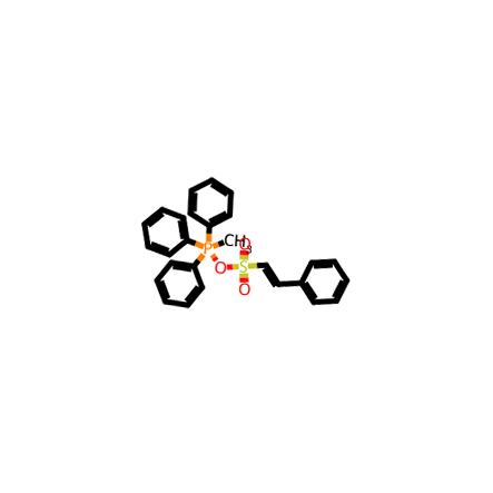 CP(OS(=O)(=O)C=Cc1ccccc1)(c1ccccc1)(c1ccccc1)c1ccccc1